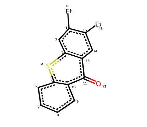 CCc1cc2sc3ccccc3c(=O)c2cc1CC